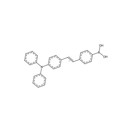 OB(O)c1ccc(/C=C/c2ccc(N(c3ccccc3)c3ccccc3)cc2)cc1